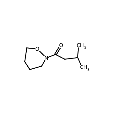 CC(C)CC(=O)N1CCCCO1